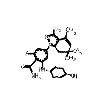 CC1=CC(C)(C)Cc2c1c(C)nn2-c1cc(F)c(C(N)=O)c(N[C@H]2CC[C@H](O)CC2)c1